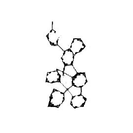 Cc1ccc(-c2cc3c(c4ccccc24)-c2ccc4c(c2C3(C)C)C(c2ccccc2)(c2ccccc2)c2ccccc2-4)s1